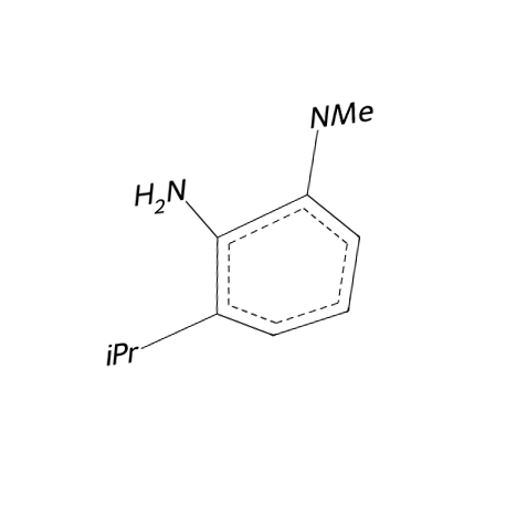 CNc1cccc(C(C)C)c1N